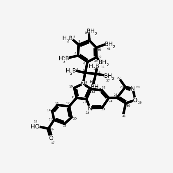 Bc1c(B)c(B)c(C(B)(n2cc(-c3ccc(C(=O)O)cc3)c3ncc(-c4c(C)noc4C)cc32)C(B)(B)B)c(B)c1B